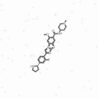 COc1cc2c(cc1C(=O)NC1CCN(C)CC1)sc1nc(-c3ccc([C@H]4CCCN4)cc3F)cn12